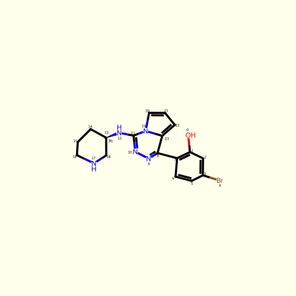 Oc1cc(Br)ccc1-c1nnc(N[C@@H]2CCCNC2)n2cccc12